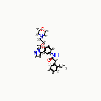 Cn1nccc1-c1cc(NC(=O)Cc2ccccc2C(F)(F)F)ccc1OCCN1CCOCC1